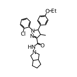 CCOc1ccc(C2C(C)C(C(=O)NN3CC4CCCC4C3)=NN2c2ccccc2Cl)cc1